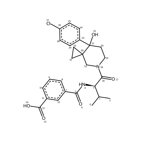 CC(C)[C@@H](NC(=O)c1cccc(C(=O)O)c1)C(=O)N1CCC(O)(c2ccc(Cl)cc2)C2(CC2)C1